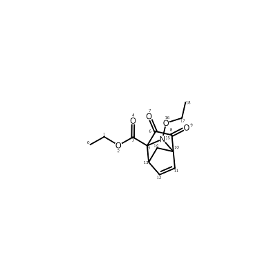 CCOC(=O)C12C(=O)C(=O)C3(C=CC1C3)N2OCC